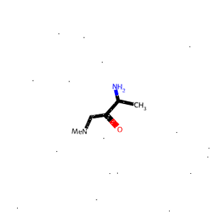 CNCC(=O)C(C)N